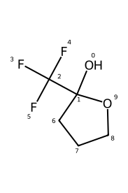 OC1(C(F)(F)F)CCCO1